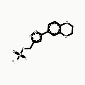 CS(=O)(=O)OCc1cc(-c2ccc3c(c2)OCCO3)on1